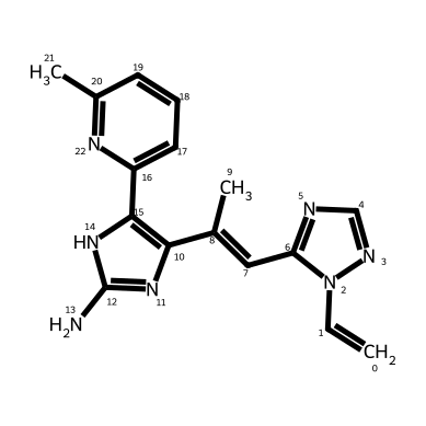 C=Cn1ncnc1/C=C(\C)c1nc(N)[nH]c1-c1cccc(C)n1